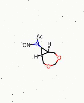 CC(=O)N(N=O)[C@H]1[C@@H]2COCOC[C@@H]21